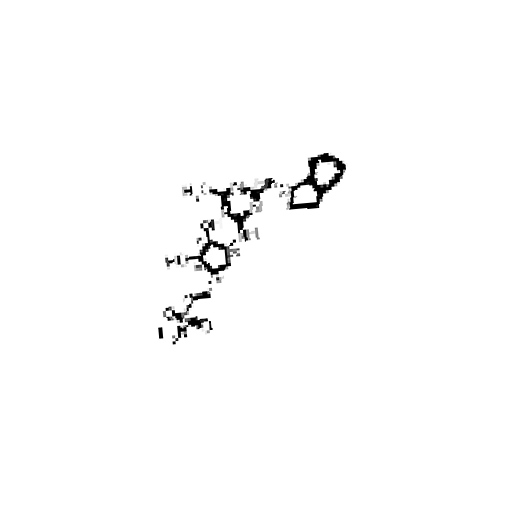 Cc1nc(N[C@H]2CCc3ccccc32)nc(N[C@@H]2C[C@H](COS(N)(=O)=O)[C@@H](O)[C@H]2O)n1